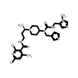 Cc1cc(Cl)nc(Cl)c1C(=O)NCC[C@@H](C)N1CCC(N(Cc2ccsc2)C(=O)NCc2cncn2C)CC1